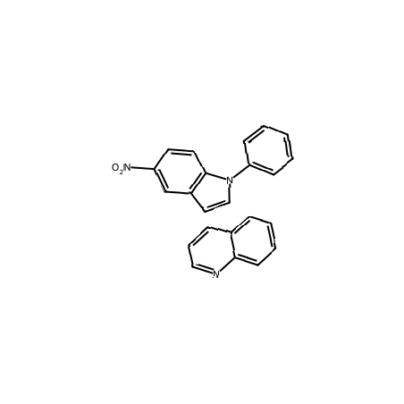 O=[N+]([O-])c1ccc2c(ccn2-c2ccccc2)c1.c1ccc2ncccc2c1